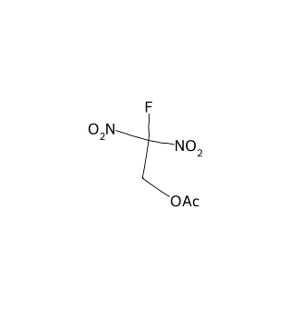 CC(=O)OCC(F)([N+](=O)[O-])[N+](=O)[O-]